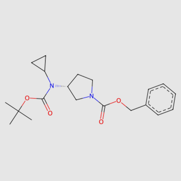 CC(C)(C)OC(=O)N(C1CC1)[C@@H]1CCN(C(=O)OCc2ccccc2)C1